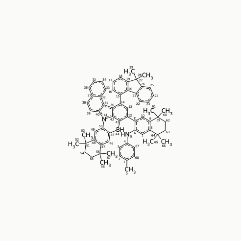 Cc1ccc(Nc2cc3c(cc2-c2cc(-c4cccc5c4-c4ccccc4C5(C)C)c4c5c6ccccc6ccc5n5c4c2Bc2cc4c(cc2-5)C(C)(C)CCC4(C)C)C(C)(C)CCC3(C)C)cc1